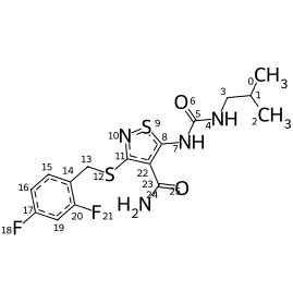 CC(C)CNC(=O)Nc1snc(SCc2ccc(F)cc2F)c1C(N)=O